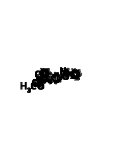 CCC(CCCN1CCN(c2ncc(-c3ccccc3)o2)CC1)(C(=O)OC)c1ccccc1